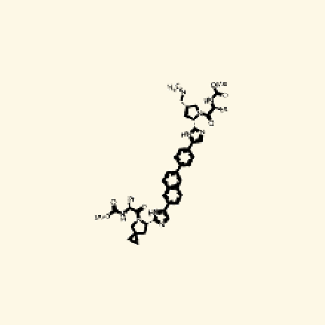 C=NC[C@H]1C[C@@H](c2ncc(-c3ccc(-c4ccc5cc(-c6cnc([C@@H]7CC8(CC8)CN7C(=O)[C@@H](NC(=O)OC)C(C)C)[nH]6)ccc5c4)cc3)[nH]2)N(C(=O)[C@H](CC)NC(=O)OC)C1